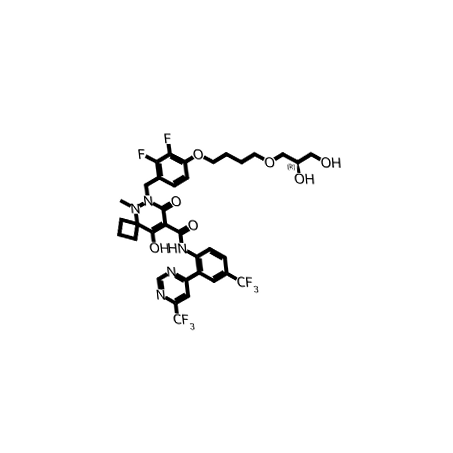 CN1N(Cc2ccc(OCCCCOC[C@H](O)CO)c(F)c2F)C(=O)C(C(=O)Nc2ccc(C(F)(F)F)cc2-c2cc(C(F)(F)F)ncn2)=C(O)C12CCC2